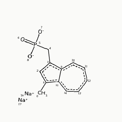 Cc1cc(CP(=O)([O-])[O-])c2cccccc1-2.[Na+].[Na+]